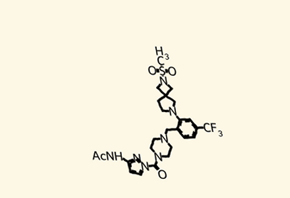 CC(=O)Nc1ccn(C(=O)N2CCN(Cc3ccc(C(F)(F)F)cc3N3CCC4(C3)CN(S(C)(=O)=O)C4)CC2)n1